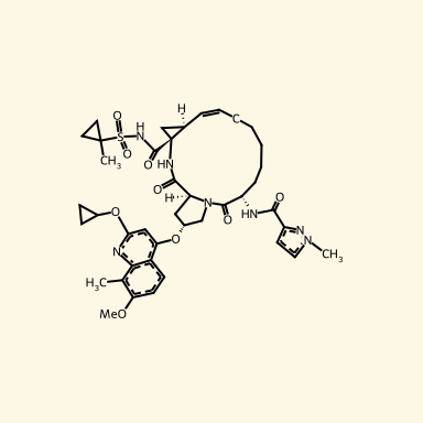 COc1ccc2c(O[C@@H]3C[C@H]4C(=O)N[C@]5(C(=O)NS(=O)(=O)C6(C)CC6)C[C@H]5C=CCCCCC[C@H](NC(=O)c5ccn(C)n5)C(=O)N4C3)cc(OC3CC3)nc2c1C